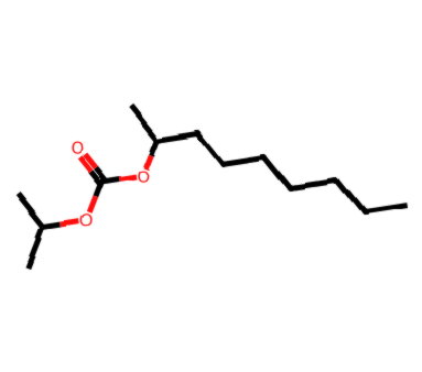 CCCCCCCC(C)OC(=O)OC(C)C